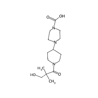 CC(C)(CO)C(=O)N1CCC(N2CCN(C(=O)O)CC2)CC1